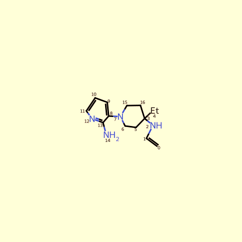 C=CNC1(CC)CCN(c2cccnc2N)CC1